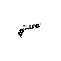 Cl.O=c1ccc2ccc(OCCCNCC3COc4cc(O)ccc4O3)cc2o1